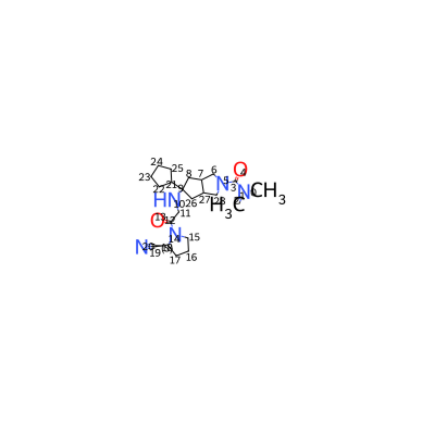 CN(C)C(=O)N1CC2CC(NCC(=O)N3CCC[C@H]3C#N)(C3CCCC3)CC2C1